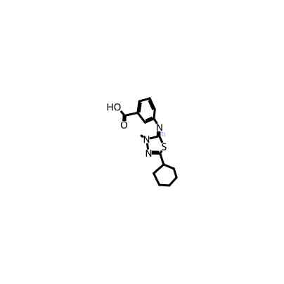 Cn1nc(C2CCCCC2)s/c1=N/c1cccc(C(=O)O)c1